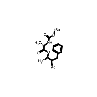 CC(=O)C(Cc1ccccc1)C(C)OC(=O)[C@H](C)NC(=O)OC(C)(C)C